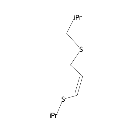 CC(C)CSC/C=C\SC(C)C